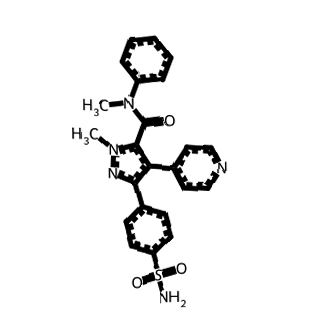 CN(C(=O)c1c(-c2ccncc2)c(-c2ccc(S(N)(=O)=O)cc2)nn1C)c1ccccc1